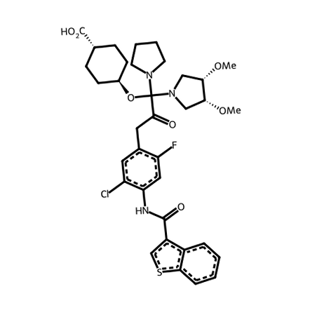 CO[C@H]1CN(C(O[C@H]2CC[C@H](C(=O)O)CC2)(C(=O)Cc2cc(Cl)c(NC(=O)c3csc4ccccc34)cc2F)N2CCCC2)C[C@H]1OC